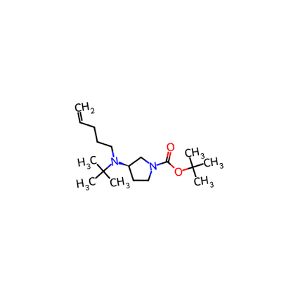 C=CCCCN([C@@H]1CCN(C(=O)OC(C)(C)C)C1)C(C)(C)C